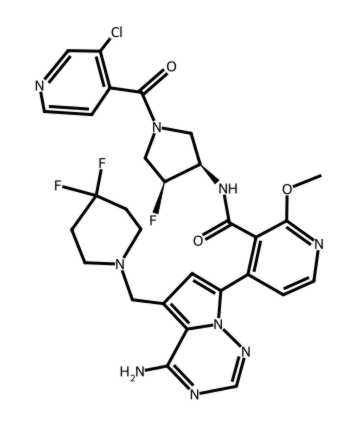 COc1nccc(-c2cc(CN3CCC(F)(F)CC3)c3c(N)ncnn23)c1C(=O)N[C@@H]1CN(C(=O)c2ccncc2Cl)C[C@@H]1F